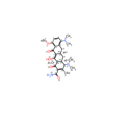 CCCCOc1ccc(N(C)C)c2c1C(=O)C1=C(O)[C@]3(OC(C)=O)C(=O)C(C(N)=O)=C(OC(C)=O)C(N(C)C)[C@@H]3C[C@@H]1C2